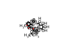 Cc1cccc2c1COP(=O)(OC[C@@H](O)[C@H]1O[C@H](OP(=O)(OCOC(=O)OC(C)C)OCOC(=O)OC(C)C)[C@@H](O)[C@@H](O)[C@@H]1O)O2